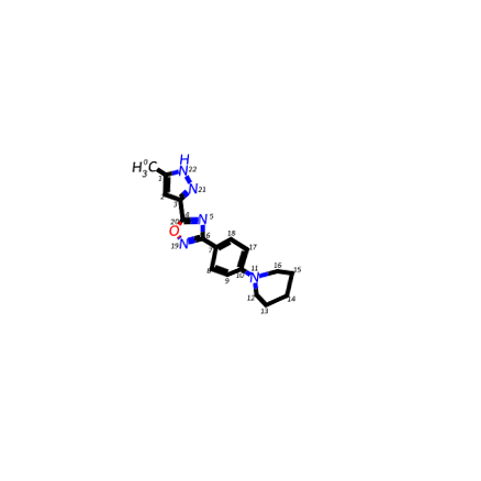 Cc1cc(-c2nc(-c3ccc(N4CCCCC4)cc3)no2)n[nH]1